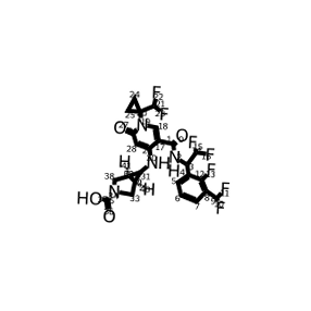 O=C(NC(c1cccc(C(F)F)c1F)C(F)F)c1cn(C2(C(F)F)CC2)c(=O)cc1NC1[C@H]2CN(C(=O)O)C[C@@H]12